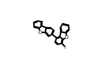 Ic1ccc(-c2ccc3c(c2)oc2ccccc23)c2c1oc1ccccc12